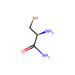 NC(=O)[C@H](N)CS